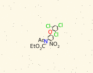 CCOC(=O)CN(C(C)=O)c1cc(Oc2c(Cl)cc(Cl)cc2Cl)ccc1[N+](=O)[O-]